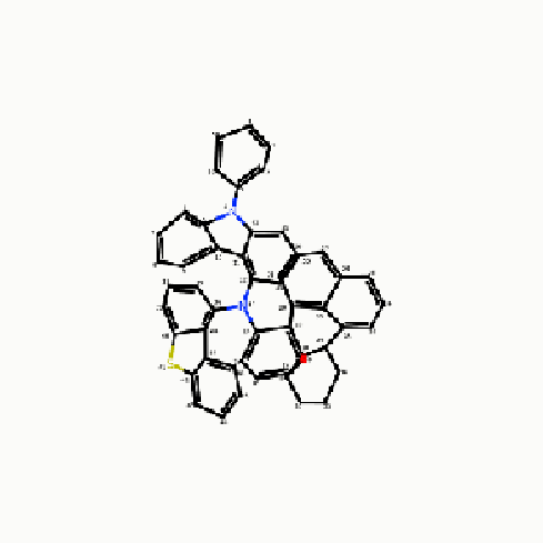 c1ccc(-n2c3ccccc3c3c(N(c4ccccc4-c4cccc5cccc(C6CCCCC6)c45)c4cccc5sc6ccccc6c45)cccc32)cc1